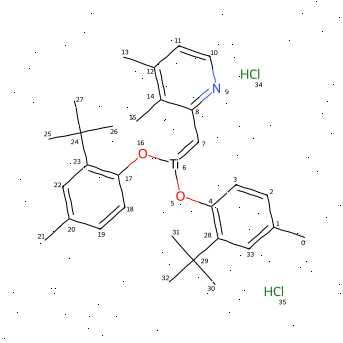 Cc1ccc([O][Ti](=[CH]c2nccc(C)c2C)[O]c2ccc(C)cc2C(C)(C)C)c(C(C)(C)C)c1.Cl.Cl